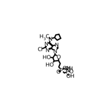 CN(c1nc(Cl)nc2c1ncn2C1OC(CCP(=O)(O)CP(=O)(O)O)C(O)C1O)C1CCCC1